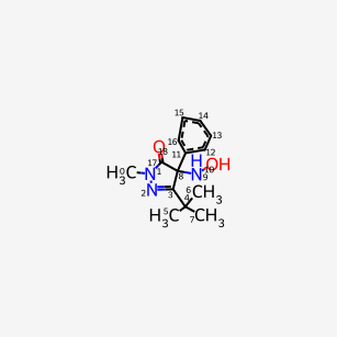 CN1N=C(C(C)(C)C)C(NO)(c2ccccc2)C1=O